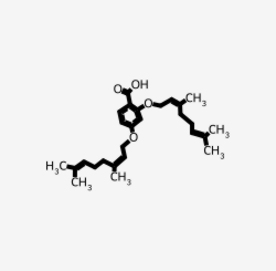 CC(C)=CCCC(C)=CCOc1ccc(C(=O)O)c(OCC=C(C)CCC=C(C)C)c1